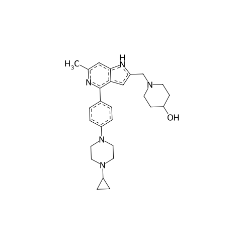 Cc1cc2[nH]c(CN3CCC(O)CC3)cc2c(-c2ccc(N3CCN(C4CC4)CC3)cc2)n1